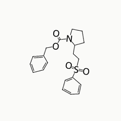 O=C(OCc1ccccc1)N1CCCC1CCS(=O)(=O)c1ccccc1